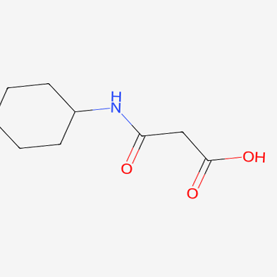 O=C(O)CC(=O)NC1CCCCC1